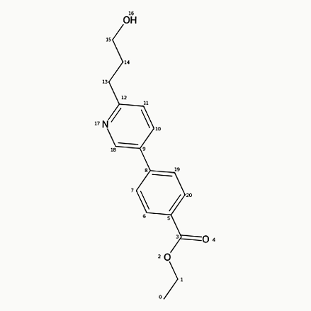 CCOC(=O)c1ccc(-c2ccc(CCCO)nc2)cc1